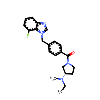 CCN(C)[C@H]1CCN(C(=O)c2ccc(Cn3cnc4cccc(F)c43)cc2)C1